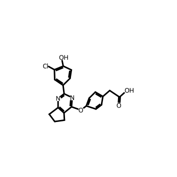 O=C(O)Cc1ccc(Oc2nc(-c3ccc(O)c(Cl)c3)nc3c2CCC3)cc1